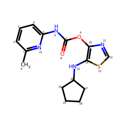 Cc1cccc(NC(=O)Oc2ncsc2NC2CCCC2)n1